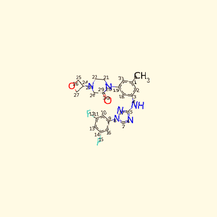 Cc1cc(Nc2ncn(-c3cc(F)cc(F)c3)n2)cc(N2CCN(C3COC3)CC2=O)c1